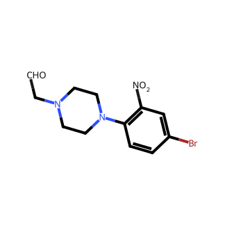 O=CCN1CCN(c2ccc(Br)cc2[N+](=O)[O-])CC1